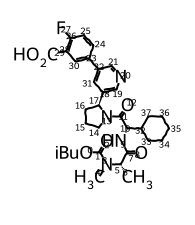 CC(C)COC(=O)N(C)[C@@H](C)C(=O)N[C@H](C(=O)N1CCC[C@H]1c1cncc(-c2ccc(F)c(C(=O)O)c2)c1)C1CCCCC1